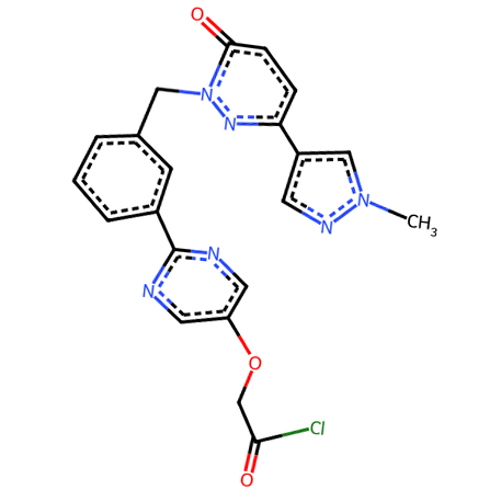 Cn1cc(-c2ccc(=O)n(Cc3cccc(-c4ncc(OCC(=O)Cl)cn4)c3)n2)cn1